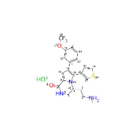 Cl.NCC[C@@H]1CNC(=O)c2cc(-c3cccc(OC(F)(F)F)c3)c(-c3ccsc3)n21